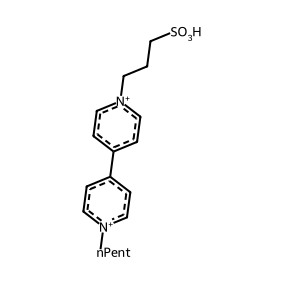 CCCCC[n+]1ccc(-c2cc[n+](CCCS(=O)(=O)O)cc2)cc1